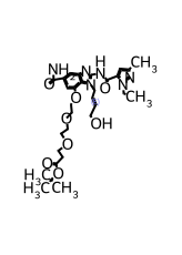 CCn1nc(C)cc1C(=O)Nc1nc2cc(C(N)=O)cc(OCCOCCOCCC(=O)OC(C)(C)C)c2n1C/C=C/CO